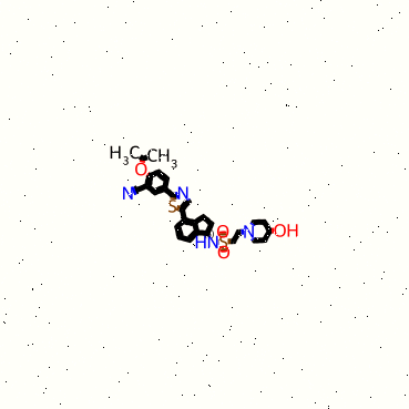 CC(C)Oc1ccc(-c2ncc(-c3cccc4c3CC[C@@H]4NS(=O)(=O)CCN3CCC(O)CC3)s2)cc1C#N